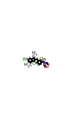 Cc1cc(Br)cc2c1C=C(Cc1c(Cl)ccc(C(=O)N3CCOCC3)c1Cl)C2C